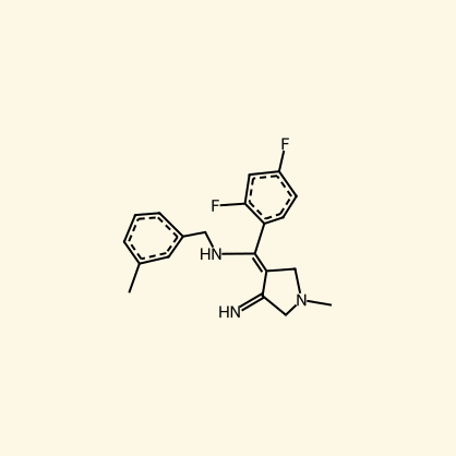 Cc1cccc(CN/C(=C2/CN(C)CC2=N)c2ccc(F)cc2F)c1